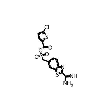 N=C(N)c1nc2ccc(CS(=O)(=O)OC(=O)c3ccc(Cl)s3)cc2s1